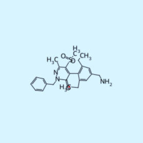 CCc1cc(CN)cc(CC)c1-c1c(S(C)(=O)=O)c(C)nn(Cc2ccccc2)c1=O